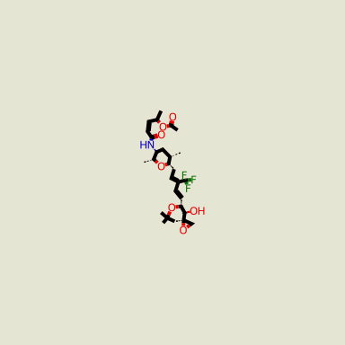 CC(=O)OC(C)/C=C\C(=O)N[C@@H]1C[C@H](C)[C@H](C/C=C(/C=C/[C@H]2OC(C)(C)C[C@@]3(CO3)[C@@H]2O)C(F)(F)F)O[C@@H]1C